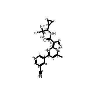 Cc1cc(-c2cncc(C#N)c2)nc2c(C(=O)N[C@H](C3CC3)C(F)(F)F)cnn12